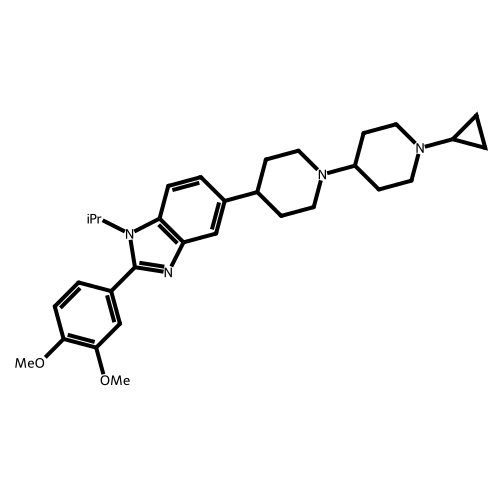 COc1ccc(-c2nc3cc(C4CCN(C5CCN(C6CC6)CC5)CC4)ccc3n2C(C)C)cc1OC